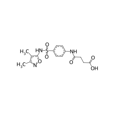 Cc1noc(NS(=O)(=O)c2ccc(NC(=O)CCC(=O)O)cc2)c1C